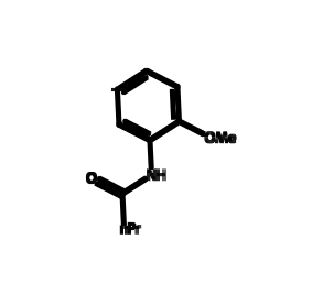 CCCC(=O)Nc1c[c]ccc1OC